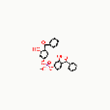 COP(=O)(Oc1ccc(C(=O)c2ccccc2)c(O)c1)Oc1ccc(C(=O)c2ccccc2)c(O)c1